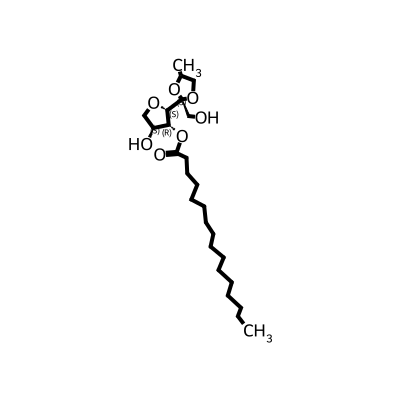 CCCCCCCCCCCCCCCC(=O)O[C@@H]1[C@@H](O)CO[C@@H]1[C@@]1(CO)OCC(C)O1